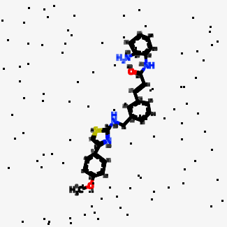 COc1ccc(-c2csc(NCc3cccc(/C=C/C(=O)Nc4ccccc4N)c3)n2)cc1